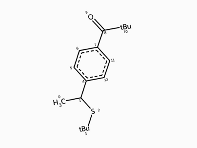 CC(SC(C)(C)C)c1ccc(C(=O)C(C)(C)C)cc1